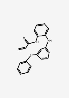 C=CC(=O)Nc1ccccc1Nc1cc(Oc2ccccc2)ccn1